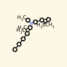 Cc1ccc(N(c2ccc(-c3ccc4c(c3)C(C)(C)c3ccccc3-4)cc2)c2ccc3c(c2)C(C)(C)c2cc(-c4ccc(-c5ccc(-c6ccccc6)cc5)cc4)ccc2-3)cc1